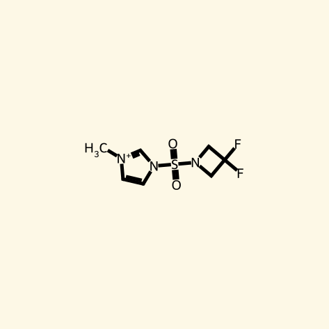 C[n+]1ccn(S(=O)(=O)N2CC(F)(F)C2)c1